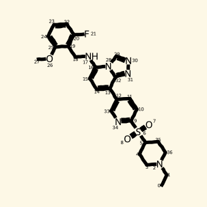 CCN1CCC(S(=O)(=O)c2ccc(-c3ccc(NCc4c(F)cccc4OC)n4cnnc34)cn2)CC1